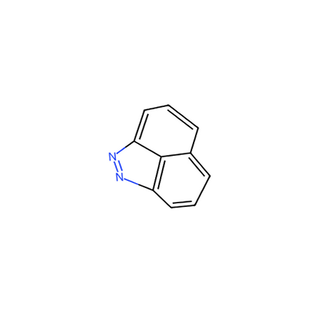 c1cc2c3c(cccc3c1)N=N2